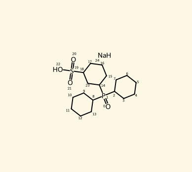 O=P(C1CCCCC1)(C1CCCCC1)C1CCCC(S(=O)(=O)O)C1.[NaH]